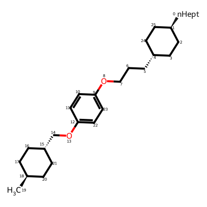 CCCCCCC[C@H]1CC[C@H](CCCOc2ccc(OC[C@H]3CC[C@H](C)CC3)cc2)CC1